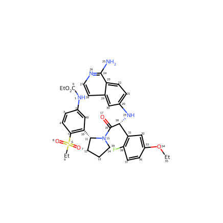 CCOC(=O)Nc1ccc(S(=O)(=O)CC)c([C@H]2CCCN2C(=O)[C@H](Nc2ccc3c(N)nccc3c2)c2cc(OCC)ccc2F)c1